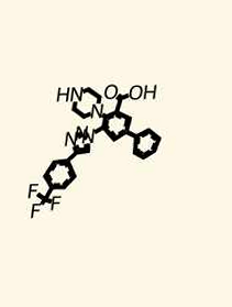 O=C(O)c1cc(-c2ccccc2)cc(-n2cc(-c3ccc(C(F)(F)F)cc3)nn2)c1N1CCNCC1